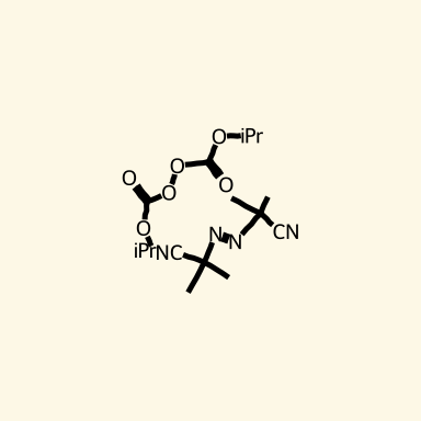 CC(C)(C#N)/N=N/C(C)(C)C#N.CC(C)OC(=O)OOC(=O)OC(C)C